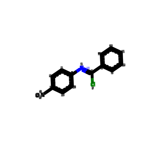 O=[N+]([O-])c1ccc(/N=C(\Cl)c2ccccc2)cc1